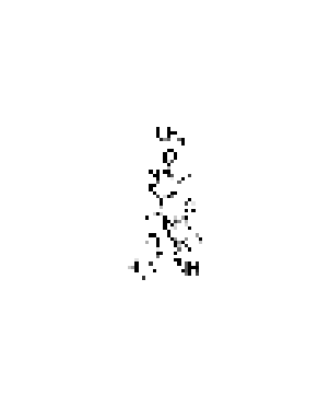 Cc1cc(C(C)N2C[C@@]3(C(=N)C(N)=O)C=CC3C2=O)cnc1OCC(F)(F)F